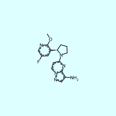 COc1ncc(F)cc1[C@H]1CCCN1c1ccn2ncc(N)c2n1